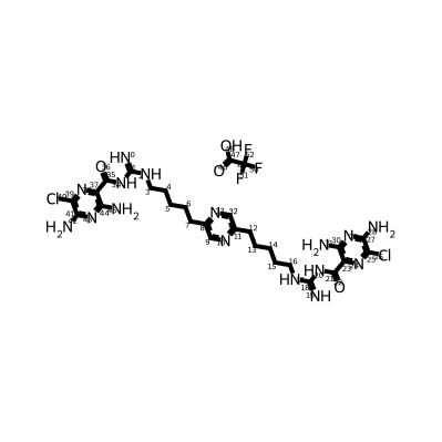 N=C(NCCCCCc1cnc(CCCCCNC(=N)NC(=O)c2nc(Cl)c(N)nc2N)cn1)NC(=O)c1nc(Cl)c(N)nc1N.O=C(O)C(F)(F)F